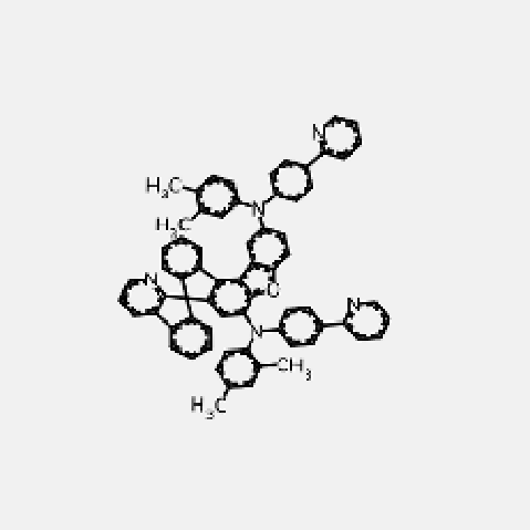 Cc1ccc(N(c2ccc(-c3ccccn3)cc2)c2cc3c(c4c2oc2ccc(N(c5ccc(-c6ccccn6)cc5)c5ccc(C)c(C)c5)cc24)-c2ccccc2C32c3ccccc3-c3cccnc32)c(C)c1